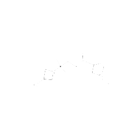 CC(CCC(C)(C)N1CC(C(C)(C)C)C1)C1CCN(C(C)(C)C)C1